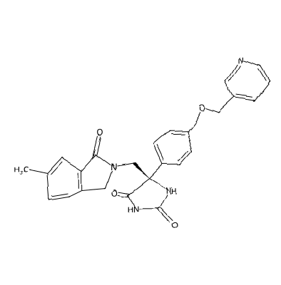 Cc1ccc2c(c1)C(=O)N(C[C@@]1(c3ccc(OCc4cccnc4)cc3)NC(=O)NC1=O)C2